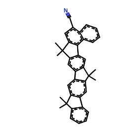 CC1(C)c2ccccc2-c2cc3c(cc21)-c1cc2c(cc1C3(C)C)-c1c(cc(C#N)c3ccccc13)C2(C)C